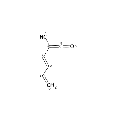 C=CC=CC(=C=O)C#N